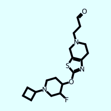 O=CCCN1CCc2nc(OC3CCN(C4CCC4)CC3F)sc2C1